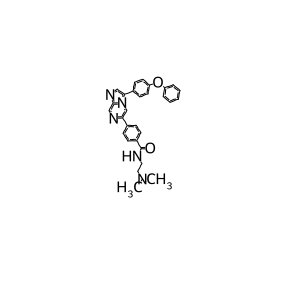 CN(C)CCNC(=O)c1ccc(-c2cn3c(-c4ccc(Oc5ccccc5)cc4)cnc3cn2)cc1